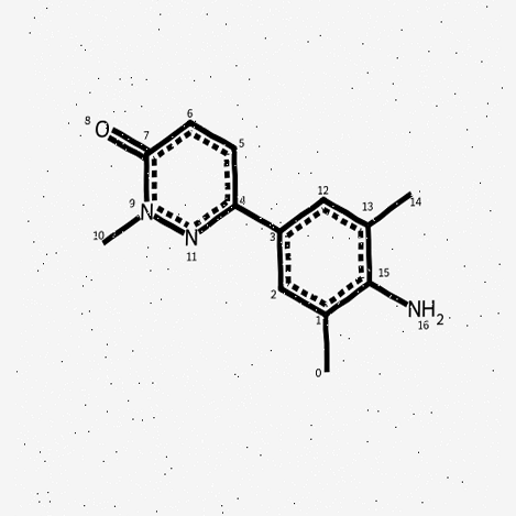 Cc1cc(-c2ccc(=O)n(C)n2)cc(C)c1N